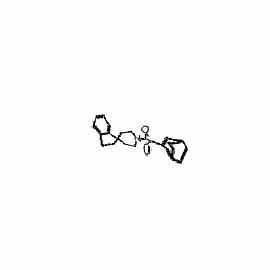 O=S(=O)(C1CC2C=CC1C2)N1CCC2(CCc3ccccc32)CC1